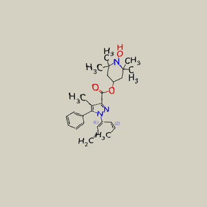 C=C/C=C(\C=C/C)n1nc(C(=O)OC2CC(C)(C)N(O)C(C)(C)C2)c(C)c1-c1ccccc1